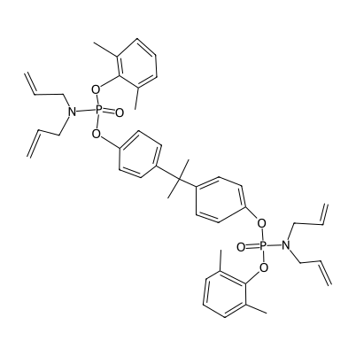 C=CCN(CC=C)P(=O)(Oc1ccc(C(C)(C)c2ccc(OP(=O)(Oc3c(C)cccc3C)N(CC=C)CC=C)cc2)cc1)Oc1c(C)cccc1C